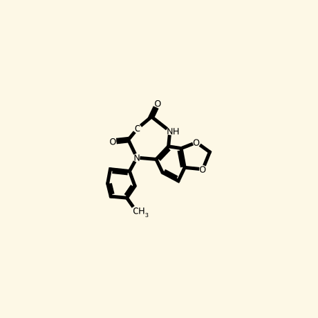 Cc1cccc(N2C(=O)CC(=O)Nc3c2ccc2c3OCO2)c1